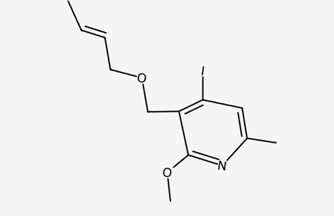 CC=CCOCc1c(I)cc(C)nc1OC